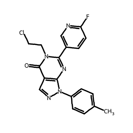 Cc1ccc(-n2ncc3c(=O)n(CCCl)c(-c4ccc(F)nc4)nc32)cc1